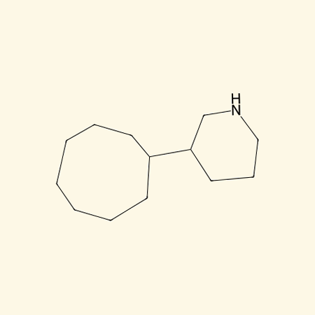 C1CCCC(C2CCCNC2)CCC1